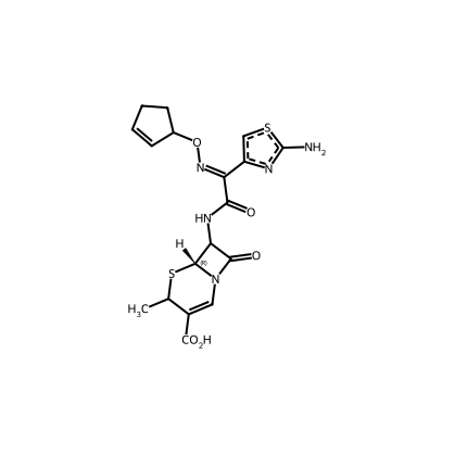 CC1S[C@@H]2C(NC(=O)C(=NOC3C=CCC3)c3csc(N)n3)C(=O)N2C=C1C(=O)O